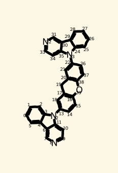 c1ccc2c(c1)c1cnccc1n2-c1ccc2c(c1)Cc1cc(-n3c4ccccc4c4cnccc43)ccc1O2